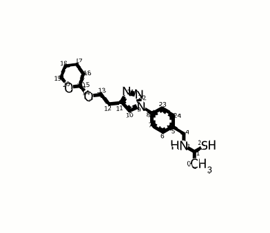 CC(S)NCc1ccc(-n2cc(CCOC3CCCCO3)nn2)cc1